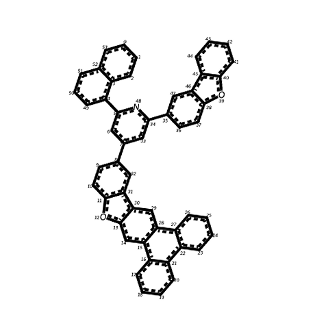 c1ccc2c(-c3cc(-c4ccc5oc6cc7c8ccccc8c8ccccc8c7cc6c5c4)cc(-c4ccc5oc6ccccc6c5c4)n3)cccc2c1